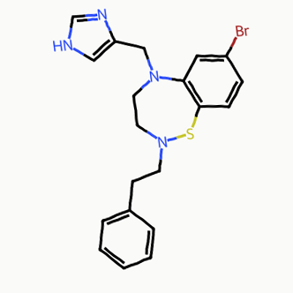 Brc1ccc2c(c1)N(Cc1c[nH]cn1)CCN(CCc1ccccc1)S2